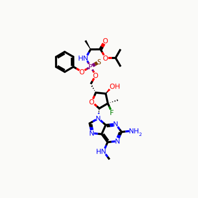 CNc1nc(N)nc2c1ncn2[C@@H]1O[C@H](COP(=S)(N[C@@H](C)C(=O)OC(C)C)Oc2ccccc2)[C@@H](O)[C@@]1(C)F